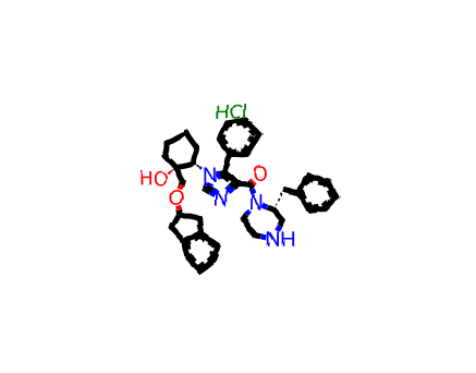 Cl.O=C(c1ncn([C@H]2CCCC[C@]2(O)COC2Cc3ccccc3C2)c1-c1ccccc1)N1CCNC[C@H]1Cc1ccccc1